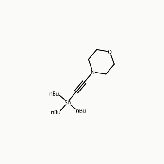 CCC[CH2][Sn]([C]#CN1CCOCC1)([CH2]CCC)[CH2]CCC